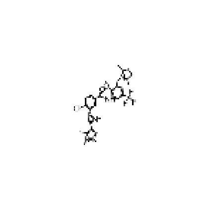 COc1c(CN2C(C)CCC2C)cc(C(F)(F)F)cc1NC(=O)c1ccc(Cl)c(-n2cc(-c3cnn(C)c3C)n2C)c1